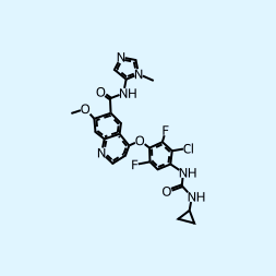 COc1cc2nccc(Oc3c(F)cc(NC(=O)NC4CC4)c(Cl)c3F)c2cc1C(=O)Nc1cncn1C